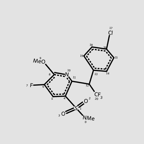 CNS(=O)(=O)c1cc(F)c(OC)nc1C(c1ccc(Cl)cc1)C(F)(F)F